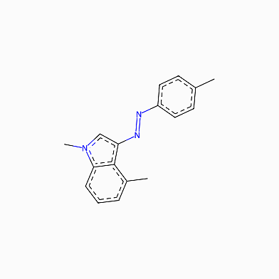 Cc1ccc(/N=N/c2cn(C)c3cccc(C)c23)cc1